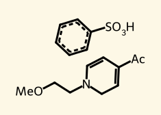 COCCN1C=CC(C(C)=O)=CC1.O=S(=O)(O)c1ccccc1